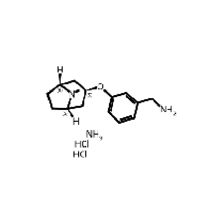 CN1[C@@H]2CC[C@H]1C[C@H](Oc1cccc(CN)c1)C2.Cl.Cl.N